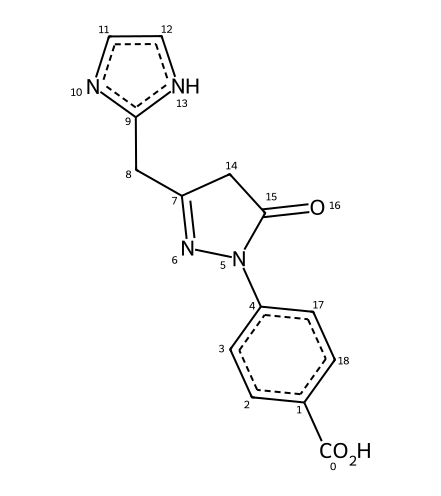 O=C(O)c1ccc(N2N=C(Cc3ncc[nH]3)CC2=O)cc1